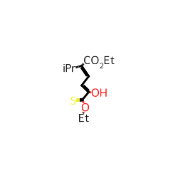 CCOC(=O)C(=CC=C(O)C(=S)OCC)C(C)C